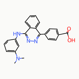 CN(C)c1cccc(Nc2nnc(-c3ccc(C(=O)O)cc3)c3ccccc23)c1